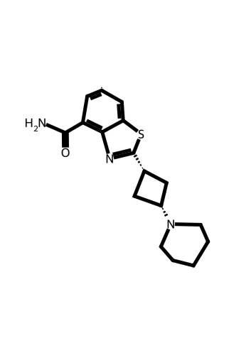 NC(=O)c1c[c]cc2sc([C@H]3C[C@@H](N4CCCCC4)C3)nc12